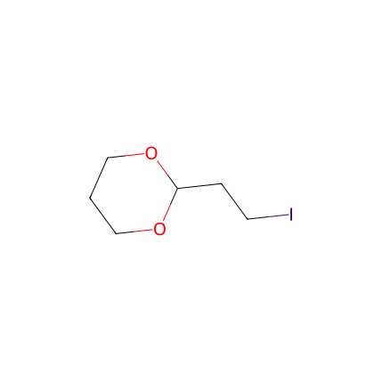 ICCC1OCCCO1